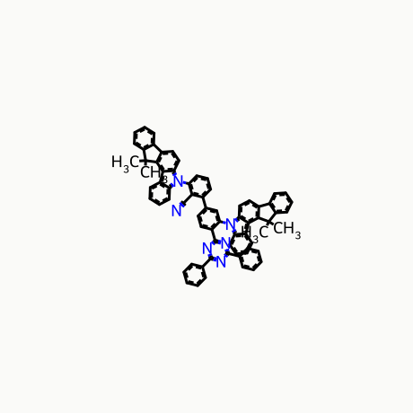 CC1(C)c2ccccc2-c2ccc3c(c21)c1ccccc1n3-c1cc(-c2cccc(-n3c4ccccc4c4c5c(ccc43)-c3ccccc3C5(C)C)c2C#N)ccc1-c1nc(-c2ccccc2)nc(-c2ccccc2)n1